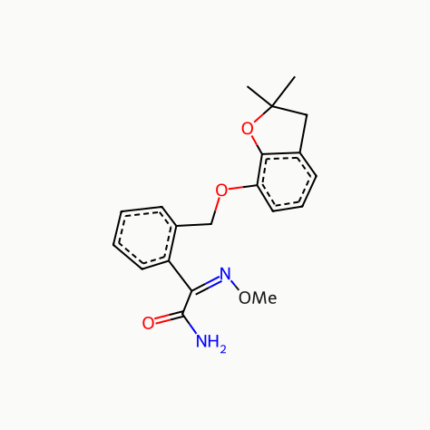 CON=C(C(N)=O)c1ccccc1COc1cccc2c1OC(C)(C)C2